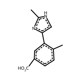 Cc1nc(-c2cc(C(=O)O)ccc2C)c[nH]1